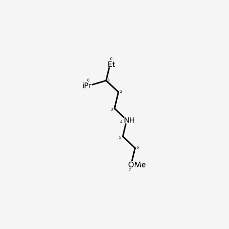 CCC(CCNCCOC)C(C)C